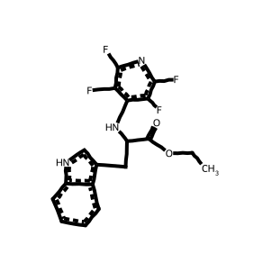 CCOC(=O)C(Cc1c[nH]c2ccccc12)Nc1c(F)c(F)nc(F)c1F